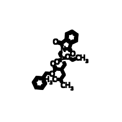 CCOP(=O)(CC(CC(C)C)C(=O)OCc1ccccc1)CN1C(=O)c2ccccc2C1=O